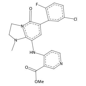 COC(=O)c1cnccc1Nc1cc(-c2cc(Cl)ccc2F)c(=O)n2c1N(C)CC2